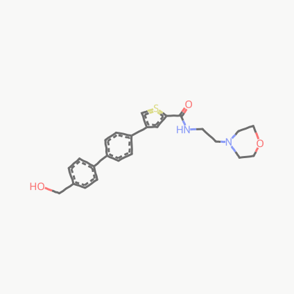 O=C(NCCN1CCOCC1)c1cc(-c2ccc(-c3ccc(CO)cc3)cc2)cs1